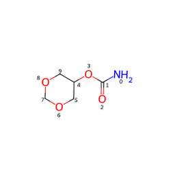 NC(=O)OC1COCOC1